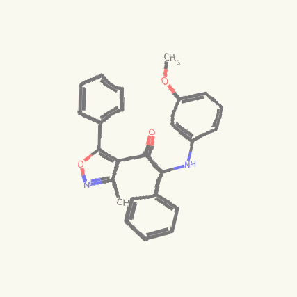 COc1cccc(NC(C(=O)c2c(C)noc2-c2ccccc2)c2ccccc2)c1